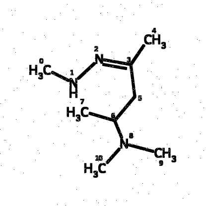 CN/N=C(/C)CC(C)N(C)C